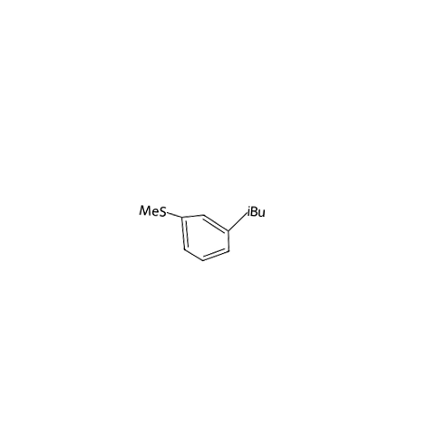 CCC(C)c1cccc(SC)c1